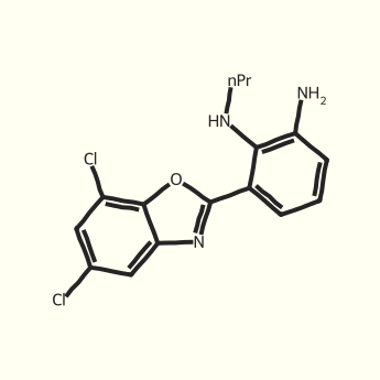 CCCNc1c(N)cccc1-c1nc2cc(Cl)cc(Cl)c2o1